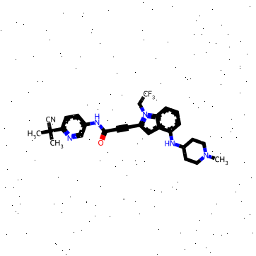 CN1CCC(Nc2cccc3c2cc(C#CC(=O)Nc2ccc(C(C)(C)C#N)nc2)n3CC(F)(F)F)CC1